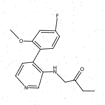 CCC(=O)CNc1cnccc1-c1ccc(F)cc1OC